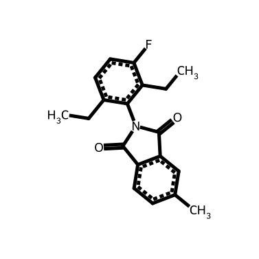 CCc1ccc(F)c(CC)c1N1C(=O)c2ccc(C)cc2C1=O